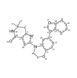 CC1(C)Cc2nc(N3CCOc4ccc(-c5coc6ccccc56)cc43)sc2C(=O)N1